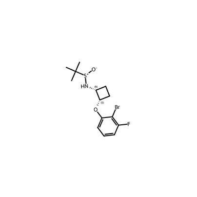 CC(C)(C)[S+]([O-])N[C@@H]1CC[C@@H]1Oc1cccc(F)c1Br